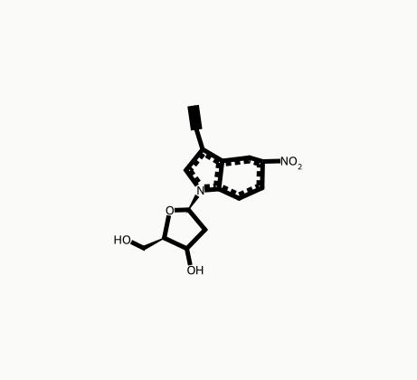 C#Cc1cn([C@H]2CC(O)[C@@H](CO)O2)c2ccc([N+](=O)[O-])cc12